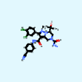 CC(C)(O)C1CN(C(N)=O)Cc2c(C(=O)Nc3ccc(C#N)cc3)c(-c3ccc(Cl)c(Cl)c3)nn21